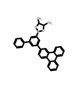 CC1OB(c2cc(-c3ccccc3)cc(-c3ccc4c5ccccc5c5ccccc5c4c3)c2)OC1C